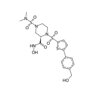 CN(C)S(=O)(=O)N1CCN(S(=O)(=O)c2ccc(-c3ccc(CO)cc3)s2)[C@@H](C(=O)NO)C1